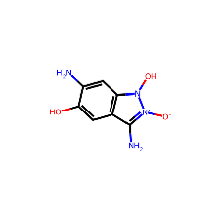 Nc1cc2c(cc1O)c(N)[n+]([O-])n2O